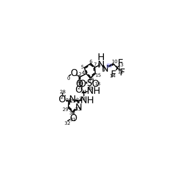 COC(=O)c1ccc(N/N=C/C(F)(F)F)cc1S(=O)(=O)NC(=O)Nc1nc(OC)cc(OC)n1